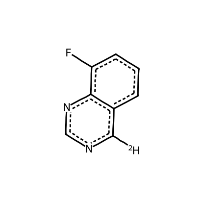 [2H]c1ncnc2c(F)cccc12